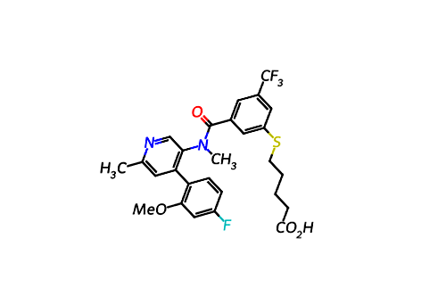 COc1cc(F)ccc1-c1cc(C)ncc1N(C)C(=O)c1cc(SCCCCC(=O)O)cc(C(F)(F)F)c1